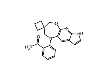 NC(=O)c1ccccc1N1CC2(CCC2)COc2nc3[nH]ccc3cc21